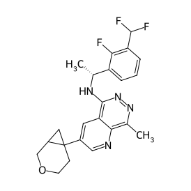 Cc1nnc(N[C@H](C)c2cccc(C(F)F)c2F)c2cc(C34CCOCC3C4)cnc12